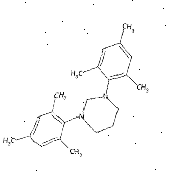 Cc1cc(C)c(N2CCCN(c3c(C)cc(C)cc3C)C2)c(C)c1